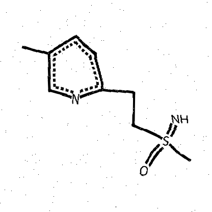 Cc1ccc(CCS(C)(=N)=O)nc1